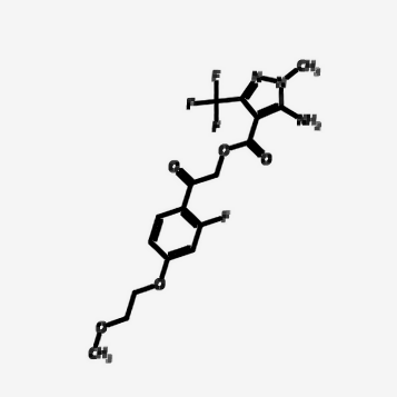 COCCOc1ccc(C(=O)COC(=O)c2c(C(F)(F)F)nn(C)c2N)c(F)c1